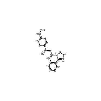 CCCNc1ccc(/C(O)=C/C2=Nc3ccccc3C3=NCCN23)cn1